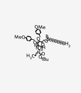 B#S(=BB=BB=BB)OC[C@H]1O[C@@H]2SC(N(CC=C)C(=O)OC(C)(C)C)=N[C@@H]2[C@@H](OCc2ccc(OC)cc2)[C@@H]1OCc1ccc(OC)cc1